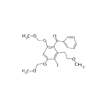 COCCc1c(I)c(OCOC)cc(OCOC)c1C(=O)c1ccccc1